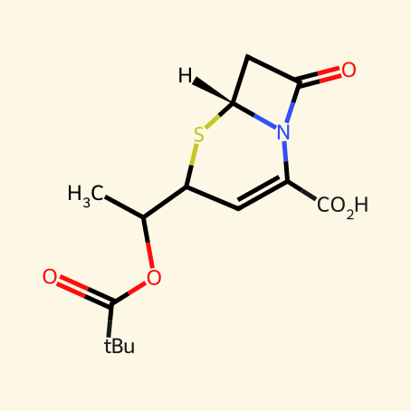 CC(OC(=O)C(C)(C)C)C1C=C(C(=O)O)N2C(=O)C[C@H]2S1